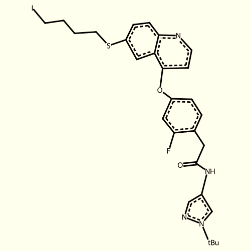 CC(C)(C)n1cc(NC(=O)Cc2ccc(Oc3ccnc4ccc(SCCCCI)cc34)cc2F)cn1